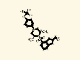 C[C@@H]1CN(c2ccc(SC(F)(F)F)cc2)C[C@H](C)N1S(=O)(=O)c1cccc2c1CC(C=O)C2